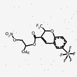 CC(=O)OC(CO[N+](=O)[O-])OC(=O)C1=Cc2cc(S(F)(F)(F)(F)F)ccc2OC1C(F)(F)F